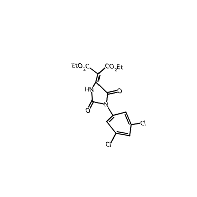 CCOC(=O)C(C(=O)OCC)=C1NC(=O)N(c2cc(Cl)cc(Cl)c2)C1=O